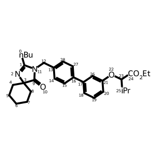 CCCCC1=NC2(CCCCC2)C(=O)N1Cc1ccc(-c2cccc(OC(C(=O)OCC)C(C)C)c2)cc1